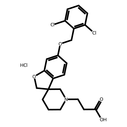 Cl.O=C(O)CCN1CCCC2(COc3cc(OCc4c(Cl)cccc4Cl)ccc32)C1